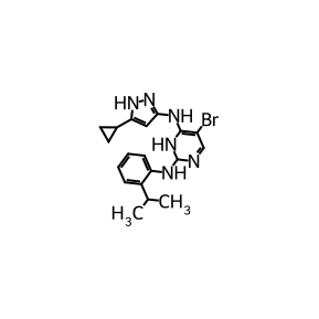 CC(C)c1ccccc1NC1N=CC(Br)=C(Nc2cc(C3CC3)[nH]n2)N1